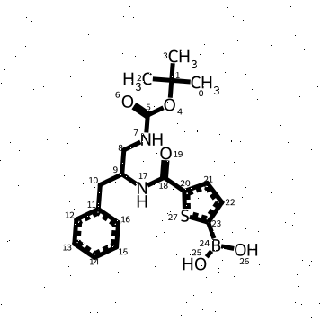 CC(C)(C)OC(=O)NCC(Cc1ccccc1)NC(=O)c1ccc(B(O)O)s1